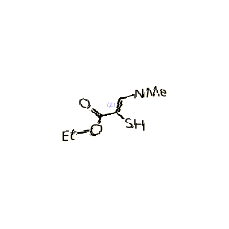 CCOC(=O)/C(S)=C/NC